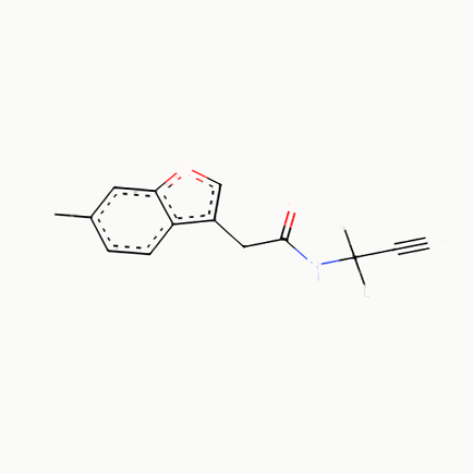 C#CC(CC)(CC)NC(=O)Cc1coc2cc(CC)ccc12